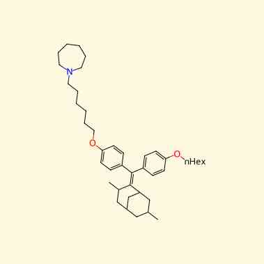 CCCCCCOc1ccc(/C(=C2/C(C)CC3CC(C)CC2C3)c2ccc(OCCCCCCN3CCCCCC3)cc2)cc1